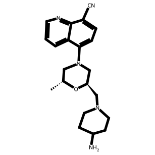 C[C@@H]1CN(c2ccc(C#N)c3ncccc23)C[C@@H](CN2CCC(N)CC2)O1